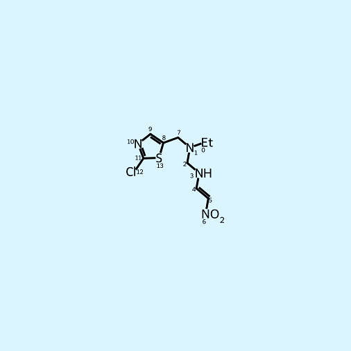 CCN(CN/C=C/[N+](=O)[O-])Cc1cnc(Cl)s1